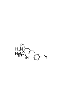 CC(C)C1=CC(Cc2cccc(C(C)C)c2)=CC(C(C)C)(C(C)C)C1(N)N